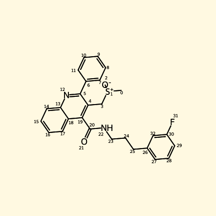 C[S+]([O-])Cc1c(-c2ccccc2)nc2ccccc2c1C(=O)NCCCc1cccc(F)c1